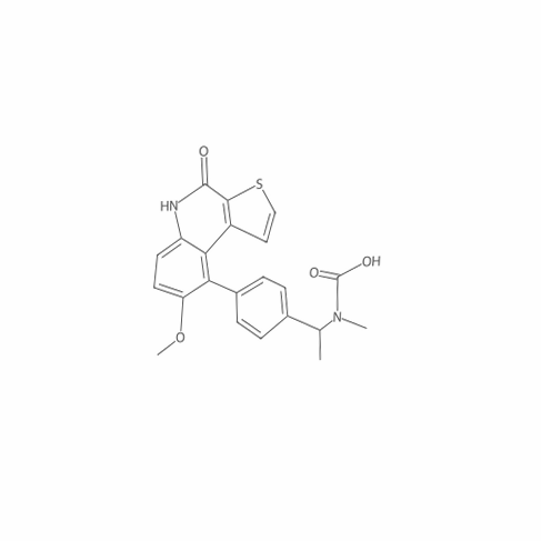 COc1ccc2[nH]c(=O)c3sccc3c2c1-c1ccc(C(C)N(C)C(=O)O)cc1